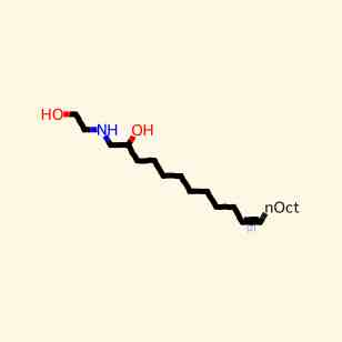 CCCCCCCC/C=C\CCCCCCCCC(O)CNCCO